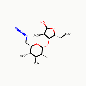 CC(=O)OC[C@H]1OC(O)[C@H](OC(C)=O)[C@@H]1O[C@H]1O[C@@H](CN=[N+]=[N-])[C@@H](OC(C)=O)[C@H](OC(C)=O)[C@H]1C